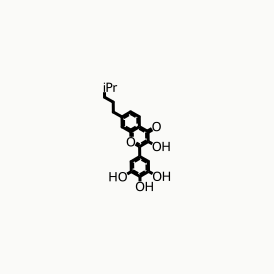 CC(C)CCCc1ccc2c(=O)c(O)c(-c3cc(O)c(O)c(O)c3)oc2c1